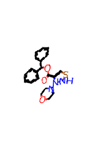 O=C(OC(c1ccccc1)c1ccccc1)C1=CSNN1N1CCOCC1